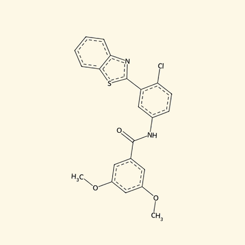 COc1cc(OC)cc(C(=O)Nc2ccc(Cl)c(-c3nc4ccccc4s3)c2)c1